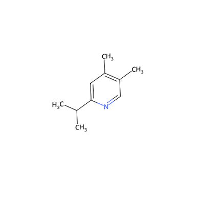 Cc1cnc(C(C)C)cc1C